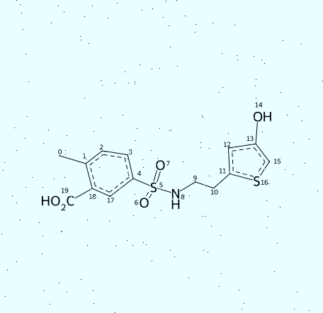 Cc1ccc(S(=O)(=O)NCCc2cc(O)cs2)cc1C(=O)O